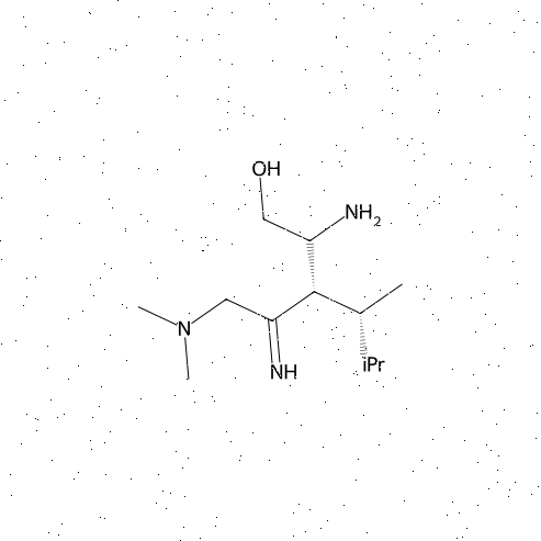 CC(C)[C@@H](C)[C@H](C(=N)CN(C)C)C(N)CO